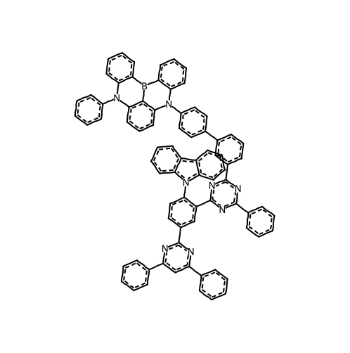 c1ccc(-c2cc(-c3ccccc3)nc(-c3ccc(-n4c5ccccc5c5ccccc54)c(-c4nc(-c5ccccc5)nc(-c5cccc(-c6ccc(N7c8ccccc8B8c9ccccc9N(c9ccccc9)c9cccc7c98)cc6)c5)n4)c3)n2)cc1